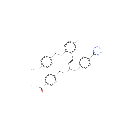 COC(=O)c1ccc(CCC(/C=C/c2cc(F)ccc2CCc2ccc(OC)cc2)Cc2ccc(-c3nnn[nH]3)cc2)cc1